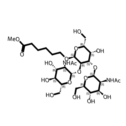 COC(=O)CCCCCO[C@H]1O[C@H](CO)[C@H](O)[C@H](O[C@@H]2O[C@H](CO)[C@@H](O)[C@H](O)[C@@H]2NC(C)=O)[C@H]1O[C@@H]1O[C@H](CO)[C@@H](O)[C@H](O)[C@@H]1NC(C)=O